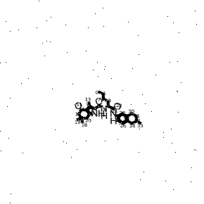 CCCCC(NC(=O)c1[nH]c2c(c1C)C(=O)CC(C)(C)C2)C(=O)Nc1ccc2c(c1)CCC(C)C2